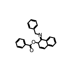 O=C(OC1C=Cc2ccccc2C1=NCc1ccccc1)c1ccccc1